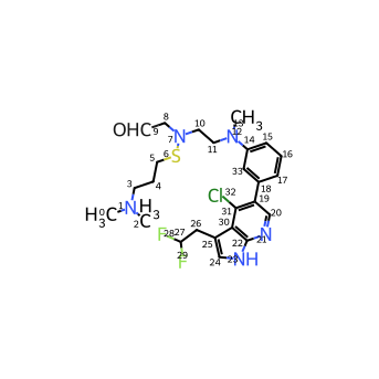 CN(C)CCCSN(CC=O)CCN(C)c1cccc(-c2cnc3[nH]cc(CC(F)F)c3c2Cl)c1